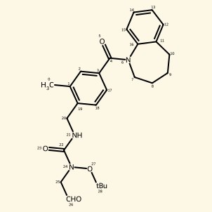 Cc1cc(C(=O)N2CCCCc3ccccc32)ccc1CNC(=O)N(CC=O)OC(C)(C)C